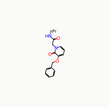 CCCNC(=O)Cn1cccc(OCc2ccccc2)c1=O